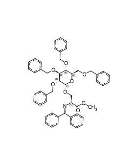 COC(=O)[C@H](CO[C@H]1O[C@H](COCc2ccccc2)[C@@H](OCc2ccccc2)[C@H](OCc2ccccc2)[C@H]1OCc1ccccc1)N=C(c1ccccc1)c1ccccc1